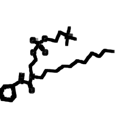 CCCCCCCCCCCN(CCOP(=O)([O-])OCC[N+](C)(C)C)C(=O)Nc1ccccc1